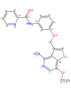 CCOC(=O)Oc1cnc(N)c2c(COc3cccc(NC(=O)c4ccccn4)c3)csc12